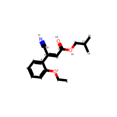 CCOc1ccccc1C(C#N)=CC(=O)OCC(C)C